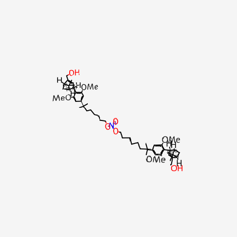 COc1cc(C(C)(C)CCCCCCO[N+](=O)OCCCCCCC(C)(C)c2cc(OC)c([C@H]3C=C(CO)[C@H]4C[C@H]3C4(C)C)c(OC)c2)cc(OC)c1[C@H]1C=C(CO)[C@H]2C[C@H]1C2(C)C